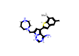 COc1cc(C)cc2cc(-c3cc(CN4CCCNCC4)n4ncnc(N)c34)sc12